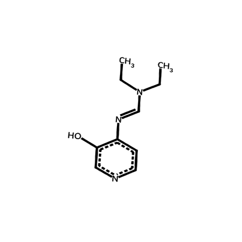 CCN(/C=N/c1ccncc1O)CC